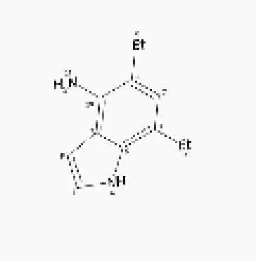 CCc1cc(CC)c2[nH]ccc2c1N